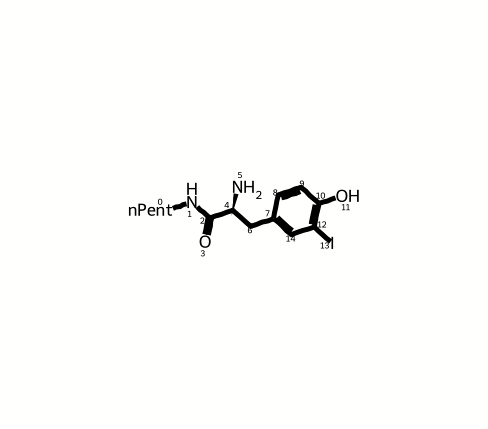 CCCCCNC(=O)[C@@H](N)Cc1ccc(O)c(I)c1